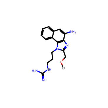 CCOCc1nc2c(N)cc3ccccc3c2n1CCCNC(=N)N